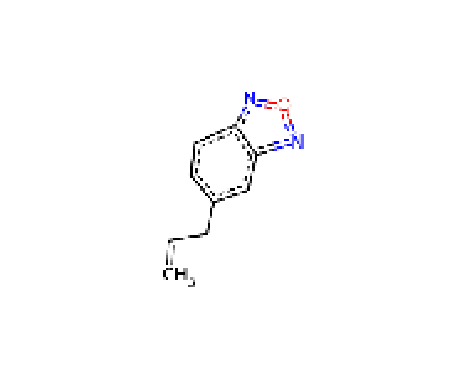 C=CCc1ccc2nonc2c1